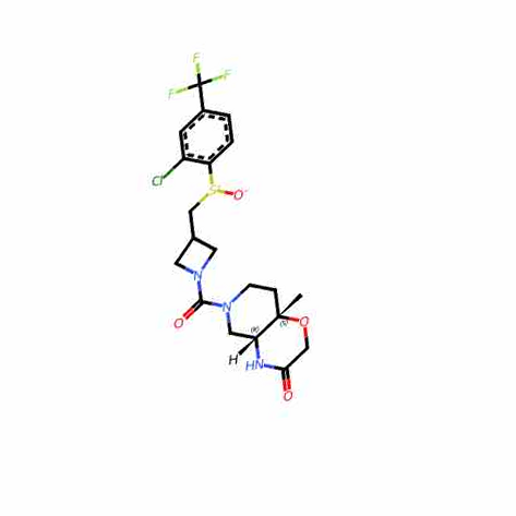 C[C@]12CCN(C(=O)N3CC(C[S+]([O-])c4ccc(C(F)(F)F)cc4Cl)C3)C[C@H]1NC(=O)CO2